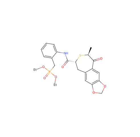 CCOP(=O)(Cc1ccccc1NC(=O)[C@H]1Cc2cc3c(cc2C(=O)[C@H](C)S1)OCO3)OCC